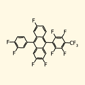 Fc1ccc2c(-c3c(F)c(F)c(C(F)(F)F)c(F)c3F)c3cc(F)c(F)cc3c(-c3ccc(F)c(F)c3)c2c1